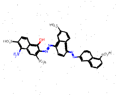 Nc1c(S(=O)(=O)O)ccc2c(O)c(/N=N/c3ccc(/N=N/c4ccc5c(S(=O)(=O)O)cccc5c4)c4ccc(S(=O)(=O)O)cc34)c(S(=O)(=O)O)cc12